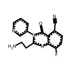 N#Cc1ccc(F)c2nc(CCN)n(-c3cccnc3)c(=O)c12